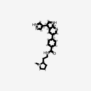 CN1CCCC1CCNC(=O)c1ccc(-c2cnc3[nH]cc(-c4cn[nH]c4)c3c2)cc1